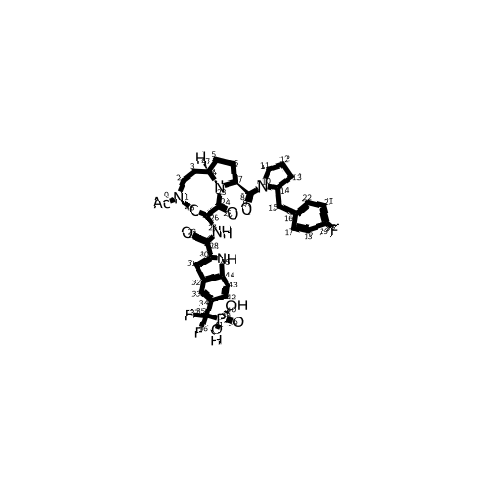 CC(=O)N1CC[C@H]2CC[C@@H](C(=O)N3CCCC3Cc3ccc(F)cc3)N2C(=O)C(NC(=O)c2cc3cc(C(F)(F)P(=O)(O)O)ccc3[nH]2)C1